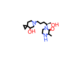 CC1NCCN([C@H](CO)CCCN2CCC3(CC3)C(O)C2)C1=O